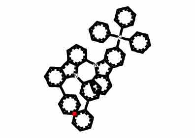 c1ccc(-c2cccc(-n3c4c(-c5ccccc5)cccc4c4cccc(-n5c6ccccc6c6ccc([Si](c7ccccc7)(c7ccccc7)c7ccccc7)cc65)c43)c2)cc1